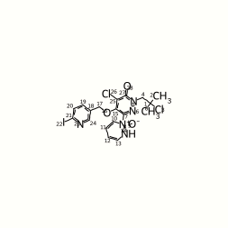 CC(C)(Cl)Cn1nc([N+]2([O-])C=CC=CN2)c(OCc2ccc(I)nc2)c(Cl)c1=O